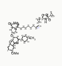 COc1ccc2oc3c(O[C@@H]4C[C@@H](C(N)=O)N(C(=O)CCCCCC/C=C\[C@@H]5C[C@@H]5C(=O)NS(=O)(=O)C5CC5)C4)cc(-c4ccc(C)cc4)nc3c2c1